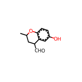 CC1CC(C=O)c2cc(O)ccc2O1